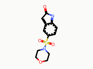 O=C1C=c2cc(S(=O)(=O)N3CCOCC3)ccc2=N1